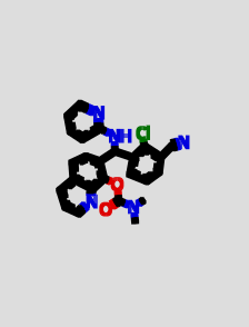 CN(C)C(=O)Oc1c(C(Nc2ccccn2)c2cccc(C#N)c2Cl)ccc2cccnc12